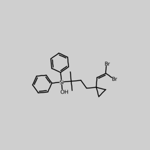 CC(C)(CCC1(C=C(Br)Br)CC1)[Si](O)(c1ccccc1)c1ccccc1